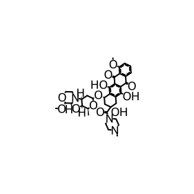 COc1cccc2c1C(=O)c1c(O)c3c(c(O)c1C2=O)C[C@@](O)(C(=O)N1CCN(C)CC1)C[C@@H]3O[C@H]1C[C@H]2[C@H](O[C@@H]3[C@@H](OC)OCCN32)[C@H](C)O1